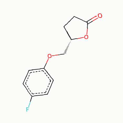 O=C1CC[C@@H](COc2ccc(F)cc2)O1